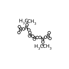 CC(C)c1ccc(N(c2ccc3cc4c(cc3c2)oc2cc3oc5cc6cc(N(c7ccc(C(C)C)cc7)c7ccc8c(c7)c7ccccc7n8-c7ccccc7)ccc6cc5c3cc24)c2ccc3c(c2)c2ccccc2n3-c2ccccc2)cc1